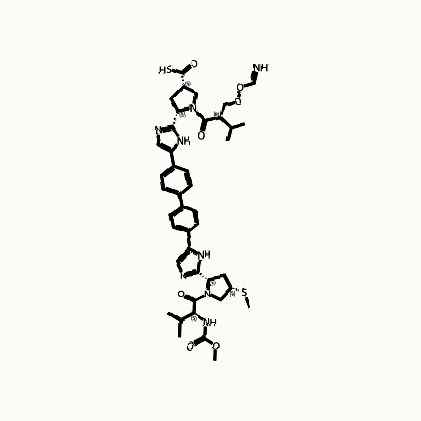 COC(=O)N[C@H](C(=O)N1C[C@@H](SC)C[C@H]1c1ncc(-c2ccc(-c3ccc(-c4cnc([C@@H]5C[C@H](C(=O)S)CN5C(=O)[C@@H](COOC=N)C(C)C)[nH]4)cc3)cc2)[nH]1)C(C)C